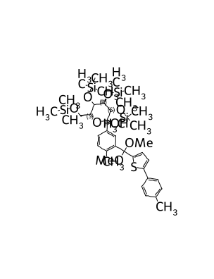 COC(OC)(c1ccc(-c2ccc(C)cc2)s1)c1cc([C@]2(O)O[C@@H](CO[Si](C)(C)C)C(O[Si](C)(C)C)[C@@H](O[Si](C)(C)C)[C@@H]2O[Si](C)(C)C)ccc1C